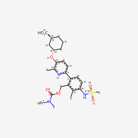 CCCN(C)C(=O)OCc1c(-c2ccc(O[C@H]3CCC[C@H](C(=O)O)C3)c(C)n2)ccc(NS(C)(=O)=O)c1C